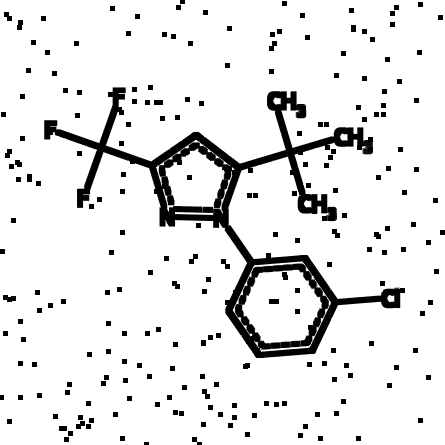 CC(C)(C)c1cc(C(F)(F)F)nn1-c1cccc(Cl)c1